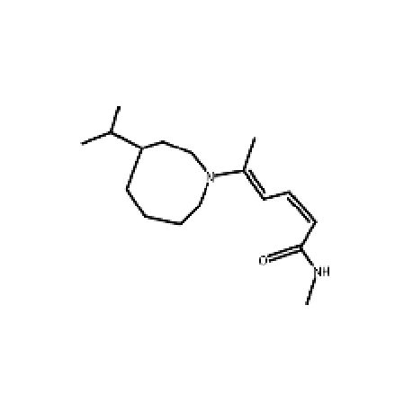 CNC(=O)/C=C\C=C(/C)N1CCCCC(C(C)C)CC1